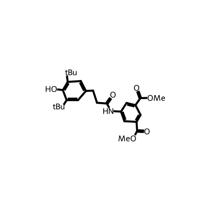 COC(=O)c1cc(NC(=O)CCc2cc(C(C)(C)C)c(O)c(C(C)(C)C)c2)cc(C(=O)OC)c1